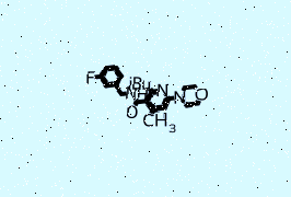 CCC(C)c1nc(N2CCOCC2)cc(C)c1C(=O)NCc1cccc(F)c1